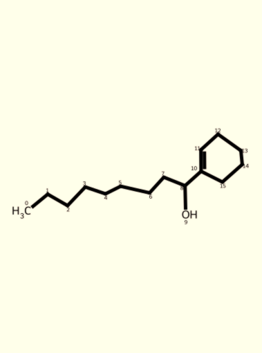 CCCCCCCCC(O)C1=CCCCC1